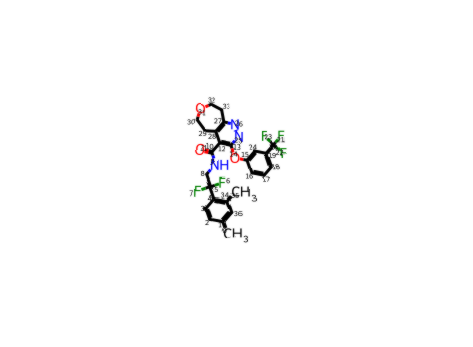 Cc1ccc(C(F)(F)CNC(=O)c2c(Oc3cccc(C(F)(F)F)c3)nnc3c2CCOCC3)c(C)c1